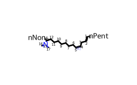 CCCCCC=CC/C=C\CCCCCCCC(CCCCCCCCC)N(C)C